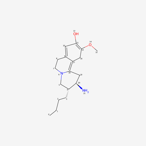 CCCC[C@@H]1CN2CCC3=CC(O)=C(OC)CC3=C2C[C@H]1N